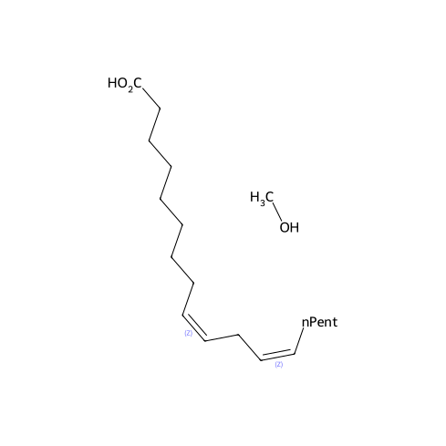 CCCCC/C=C\C/C=C\CCCCCCCC(=O)O.CO